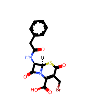 O=C(Cc1ccccc1)N[C@@H]1C(=O)N2C(C(=O)O)=C(CBr)C(=O)S[C@H]12